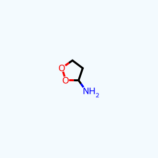 NC1CCOO1